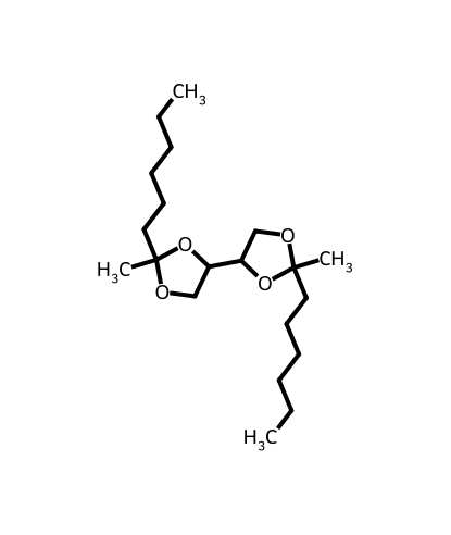 CCCCCCC1(C)OCC(C2COC(C)(CCCCCC)O2)O1